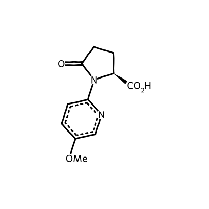 COc1ccc(N2C(=O)CC[C@H]2C(=O)O)nc1